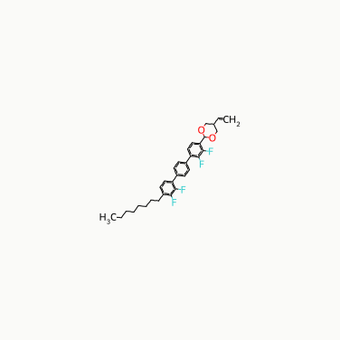 C=CC1COC(c2ccc(-c3ccc(-c4ccc(CCCCCCCC)c(F)c4F)cc3)c(F)c2F)OC1